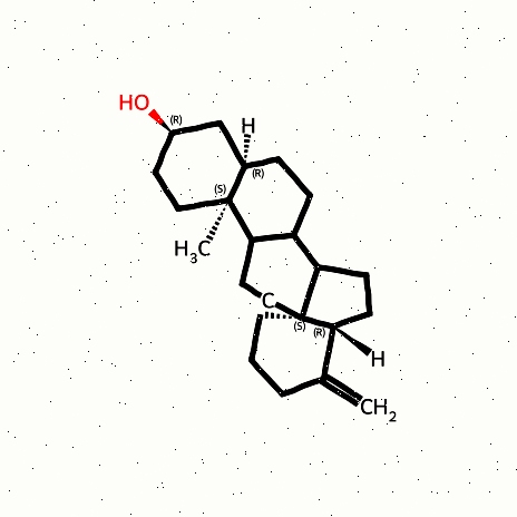 C=C1CCC[C@]23CCC4C(CC[C@@H]5C[C@H](O)CC[C@]45C)C2CC[C@H]13